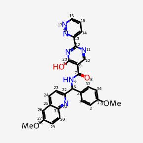 COc1ccc(C(NC(=O)c2cnc(-c3cccnn3)nc2O)c2ccc3cc(OC)ccc3n2)cc1